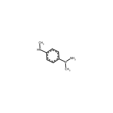 CNc1ccc(N(C)N)cc1